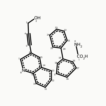 NC(=O)O.OCC#Cc1cnc2ccccc2c1.c1ccc(-c2ccccc2)cc1